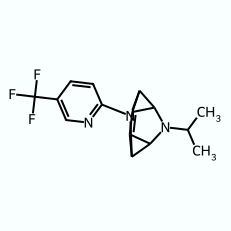 CC(C)N1C2C3=C4C(C41)N(c1ccc(C(F)(F)F)cn1)C32